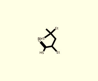 CCC(CC(C)(CC)SC)C(=O)S